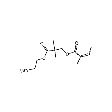 CC=C(C)C(=O)OCC(C)(C)C(=O)OCCO